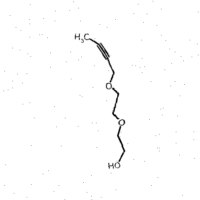 CC#CCOCCOCCO